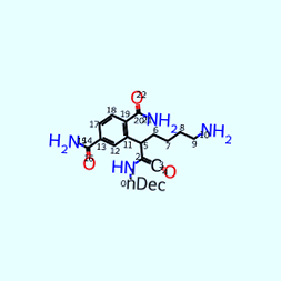 CCCCCCCCCCNC(=C=O)C(CCCCN)c1cc(C(N)=O)ccc1C(N)=O